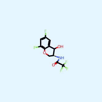 O=C(N[C@H]1COc2c(F)cc(F)cc2C1O)C(F)(F)F